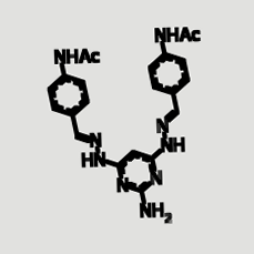 CC(=O)Nc1ccc(/C=N/Nc2cc(N/N=C/c3ccc(NC(C)=O)cc3)nc(N)n2)cc1